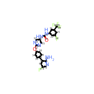 Nc1ncc(F)cc1-c1ccc(Oc2ncc(NC(=O)Nc3cc(F)cc(C(F)(F)F)c3)cn2)cc1